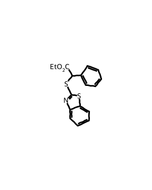 CCOC(=O)C(Sc1nc2ccccc2s1)c1ccccc1